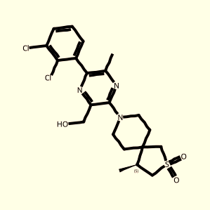 Cc1nc(N2CCC3(CC2)CS(=O)(=O)C[C@H]3C)c(CO)nc1-c1cccc(Cl)c1Cl